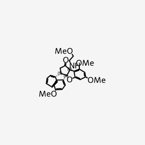 COCCN[C@@]12C(=O)C[C@@H](c3ccccc3)[C@]1(c1ccc(OC)cc1)Oc1cc(OC)cc(OC)c12